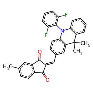 Cc1ccc2c(c1)C(=O)/C(=C\c1ccc3c(c1)C(C)(C)c1ccccc1N3c1c(F)cccc1F)C2=O